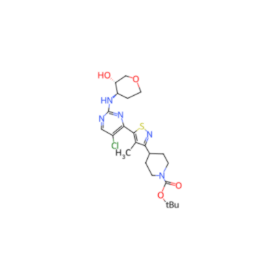 Cc1c(C2CCN(C(=O)OC(C)(C)C)CC2)nsc1-c1nc(N[C@@H]2CCOC[C@H]2O)ncc1Cl